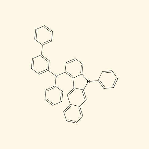 c1ccc(-c2cccc(N(c3ccccc3)c3cccc4c3c3cc5ccccc5cc3n4-c3ccccc3)c2)cc1